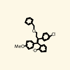 COc1ccc(/C(=C(\CCOCc2ccccc2)c2ccc(Cl)cc2)c2ccccc2[O])cc1